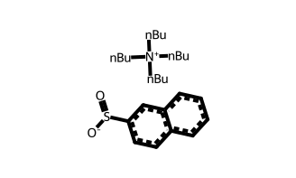 CCCC[N+](CCCC)(CCCC)CCCC.O=S([O-])c1ccc2ccccc2c1